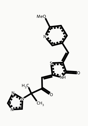 COc1ccc(/C=c2\s/c(=C/C(=O)C(C)(C)n3cncn3)[nH]c2=O)cn1